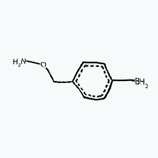 Bc1ccc(CON)cc1